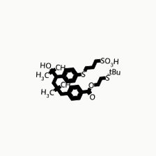 CC(C)(Cc1ccc(C(=O)OCCSC(C)(C)C)cc1)CC(c1ccc(SCCCS(=O)(=O)O)cc1)C(C)(C)O